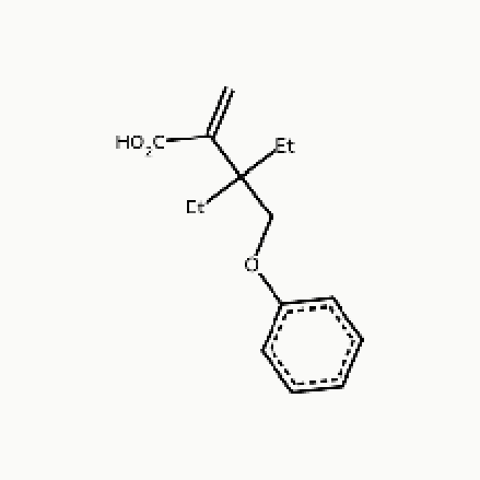 C=C(C(=O)O)C(CC)(CC)COc1ccccc1